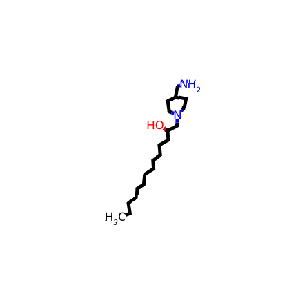 CCCCCCCCCCCCC(O)CN1CCC(CN)CC1